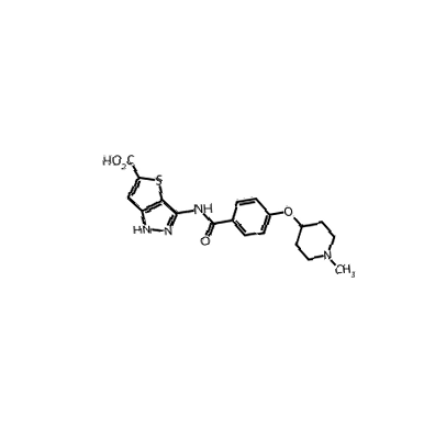 CN1CCC(Oc2ccc(C(=O)Nc3n[nH]c4cc(C(=O)O)sc34)cc2)CC1